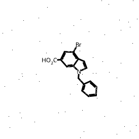 O=C(O)c1cc(Br)c2ccn(Cc3ccccc3)c2c1